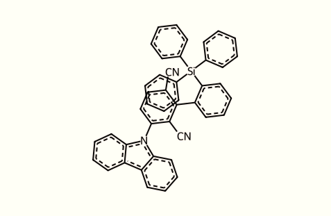 N#Cc1ccc(-n2c3ccccc3c3ccccc32)c(C#N)c1-c1ccccc1[Si](c1ccccc1)(c1ccccc1)c1ccccc1